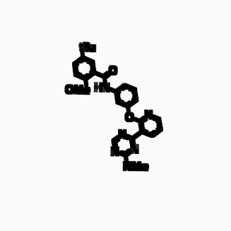 CNc1ncnc(-c2cccnc2Oc2cccc(NC(=O)c3cc(C(C)(C)C)ccc3OC)c2)n1